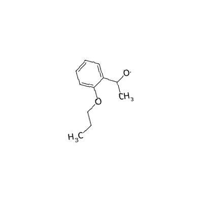 CCCOc1ccccc1C(C)[O]